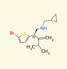 C=C(C(C)C)[C@H](CNCC1CC1)c1ccc(Br)s1